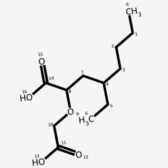 CCCCC(CC)CC(OCC(=O)O)C(=O)O